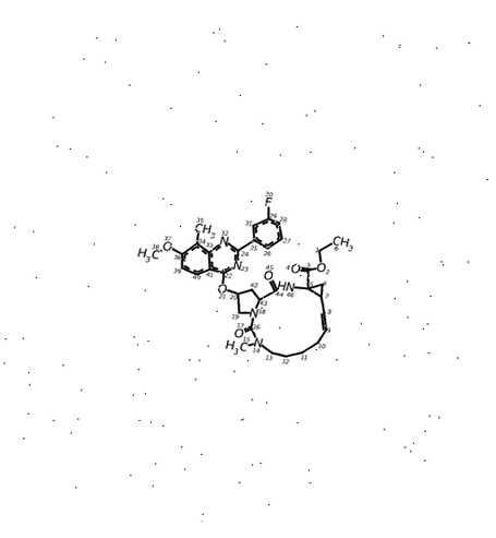 CCOC(=O)C12CC1C=CCCCCN(C)C(=O)N1CC(Oc3nc(-c4cccc(F)c4)nc4c(C)c(OC)ccc34)CC1C(=O)N2